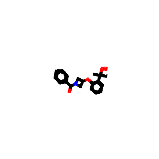 CC(C)(O)c1ccccc1OC1CN(C(=O)c2ccccc2)C1